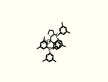 Cc1cc(C)cc(P(c2cc(C)cc(C)c2)c2ccccc2[C@@H](O)[C@@H]2CCCC2P(c2cc(C)cc(C)c2)c2cc(C)cc(C)c2)c1